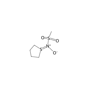 CS(=O)(=O)[N+]([O-])=S1CCCC1